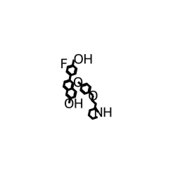 OCc1ccc(-c2ccc3cc(O)ccc3c2Oc2ccc(OCCC3CCCCN3)cc2)cc1F